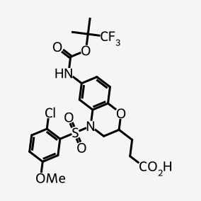 COc1ccc(Cl)c(S(=O)(=O)N2CC(CCC(=O)O)Oc3ccc(NC(=O)OC(C)(C)C(F)(F)F)cc32)c1